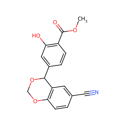 COC(=O)c1ccc(C2OCOc3ccc(C#N)cc32)cc1O